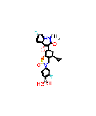 CNC(=O)c1c(-c2ccc(F)cc2)oc2cc(CN(c3ccc(B(O)O)c(F)c3)[SH](=O)=O)c(C3CC3)cc12